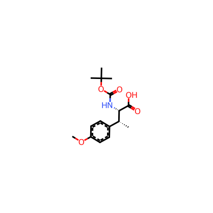 COc1ccc([C@@H](C)[C@H](NC(=O)OC(C)(C)C)C(=O)O)cc1